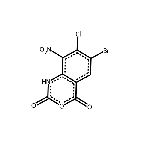 O=c1[nH]c2c([N+](=O)[O-])c(Cl)c(Br)cc2c(=O)o1